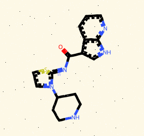 O=C(/N=c1\sccn1C1CCNCC1)c1c[nH]c2ncccc12